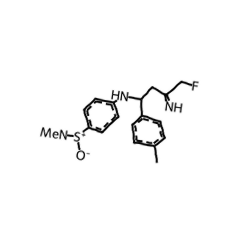 CN[S+]([O-])c1ccc(NC(CC(=N)CF)c2ccc(C)cc2)cc1